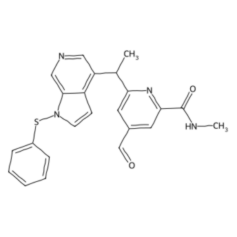 CNC(=O)c1cc(C=O)cc(C(C)c2cncc3c2ccn3Sc2ccccc2)n1